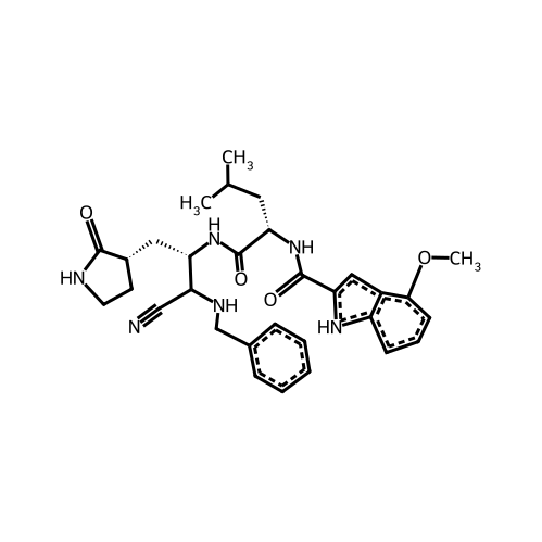 COc1cccc2[nH]c(C(=O)N[C@@H](CC(C)C)C(=O)N[C@@H](C[C@@H]3CCNC3=O)C(C#N)NCc3ccccc3)cc12